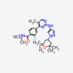 Cc1cnc(Nc2cnn(C3CC(C)(C)OC(C)(C)C3)c2)nc1-c1ccc(C(=O)N[C@@H](C)C#N)c(F)c1